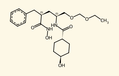 CCOCOC[C@H](C[C@H](Cc1ccccc1)C(=O)NO)NC(=O)[C@H]1CC[C@H](O)CC1